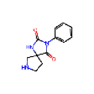 O=C1NC2(CCNC2)C(=O)N1c1ccccc1